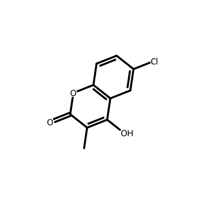 Cc1c(O)c2cc(Cl)ccc2oc1=O